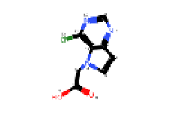 O=C(O)Cn1ccc2ncnc(Cl)c21